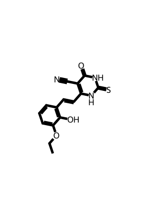 CCOc1cccc(C=Cc2[nH]c(=S)[nH]c(=O)c2C#N)c1O